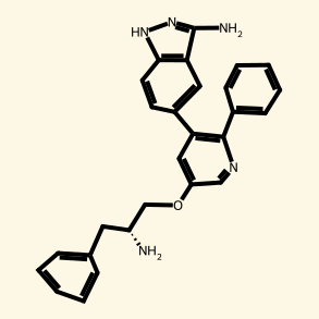 Nc1n[nH]c2ccc(-c3cc(OC[C@H](N)Cc4ccccc4)cnc3-c3ccccc3)cc12